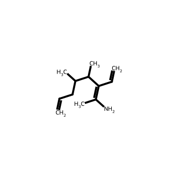 C=CCC(C)C(C)/C(C=C)=C(\C)N